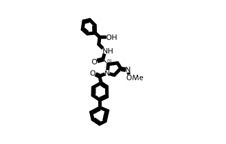 CON=C1C[C@@H](C(=O)NCC(O)c2ccccc2)N(C(=O)c2ccc(-c3ccccc3)cc2)C1